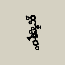 COc1cccc(CCNC(=O)Cn2nc(-c3ccc(Cl)cc3)n(C3CC3)c2=O)c1OC